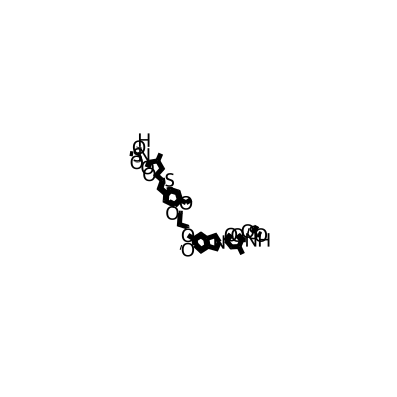 COc1cc2c(cc1OCCCOc1cc3cc(C(=O)CC(C)C(=O)NS(C)(=O)=O)sc3cc1OC)CN(C(=O)CC(C)C(=O)NS(C)(=O)=O)C2